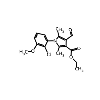 CCOC(=O)c1c(C=O)c(C)n(-c2cccc(OC)c2Cl)c1C